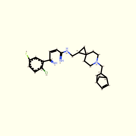 N=C(/C=C\C(=N)c1cc(F)ccc1Cl)NCC1CC12CCN(CC1CC3C=CC1C3)CC2